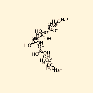 O.O.O.O.O.O.O.O.OB(O)O.OB(O)O.OB(O)O.[Na+].[Na+].[O-]B([O-])O